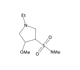 CCN1CC(OC)C(S(=O)(=O)NC)C1